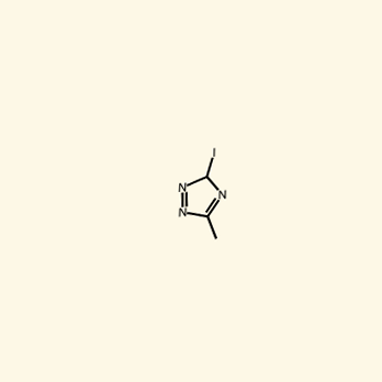 CC1=NC(I)N=N1